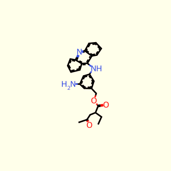 CCC(CC(C)=O)C(=O)OCc1cc(N)cc(Nc2c3ccccc3nc3ccccc23)c1